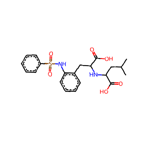 CC(C)CC(NC(Cc1ccccc1NS(=O)(=O)c1ccccc1)C(=O)O)C(=O)O